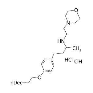 CCCCCCCCCCCCOc1ccc(CCC(C)NCCN2CCOCC2)cc1.Cl.Cl